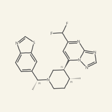 C[C@@H]1CCN([C@H](C)c2ccc3ncsc3c2)C[C@H]1c1cc(C(F)F)nc2ncnn12